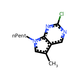 CCCCCn1cc(C)c2cnc(Cl)nc21